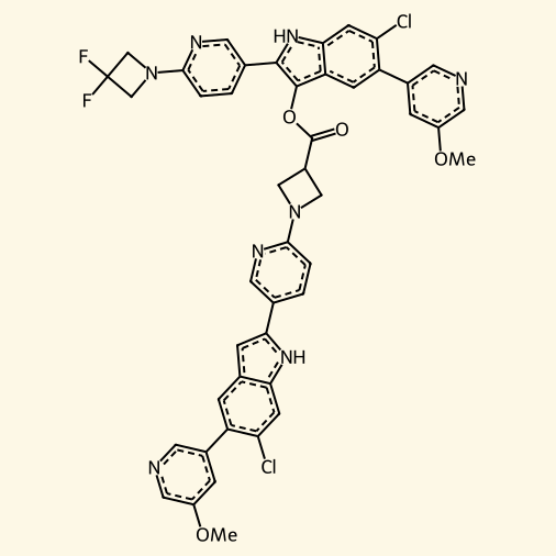 COc1cncc(-c2cc3cc(-c4ccc(N5CC(C(=O)Oc6c(-c7ccc(N8CC(F)(F)C8)nc7)[nH]c7cc(Cl)c(-c8cncc(OC)c8)cc67)C5)nc4)[nH]c3cc2Cl)c1